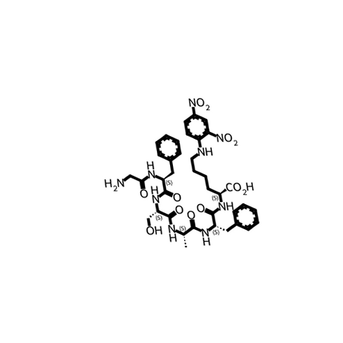 C[C@H](NC(=O)[C@H](CO)NC(=O)[C@H](Cc1ccccc1)NC(=O)CN)C(=O)N[C@@H](Cc1ccccc1)C(=O)N[C@@H](CCCCNc1ccc([N+](=O)[O-])cc1[N+](=O)[O-])C(=O)O